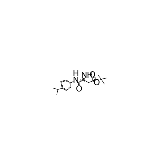 CC(C)c1ccc(NC(=O)[C@@H](N)CC(=O)OC(C)(C)C)cc1